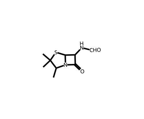 CC1N2C(=O)C(NC=O)C2SC1(C)C